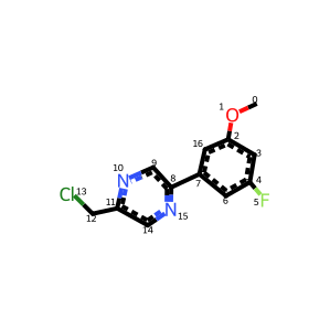 COc1cc(F)cc(-c2cnc(CCl)cn2)c1